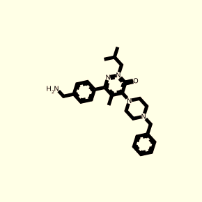 Cc1c(-c2ccc(CN)cc2)nn(CC(C)C)c(=O)c1N1CCN(Cc2ccccc2)CC1